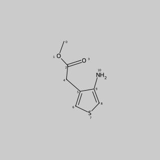 COC(=O)Cc1cscc1N